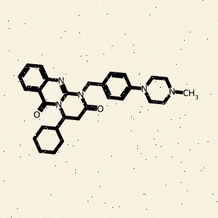 CN1CCN(c2ccc(CN3C(=O)CC(C4CCCCC4)n4c3nc3ccccc3c4=O)cc2)CC1